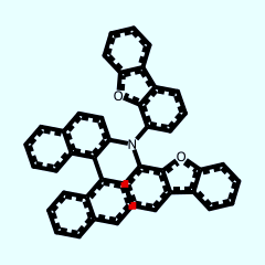 c1ccc2c(-c3c(N(c4cccc5c4oc4ccccc45)c4cccc5c4oc4ccccc45)ccc4ccccc34)cccc2c1